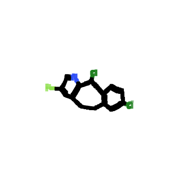 Fc1cnc2c(c1)CCc1cc(Cl)ccc1C2Cl